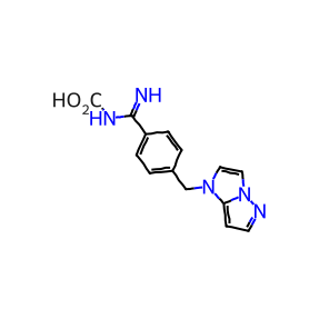 N=C(NC(=O)O)c1ccc(Cn2ccn3nccc23)cc1